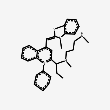 CCC(c1cc(/C=C2/Sc3ccccc3N2C)c2ccccc2[n+]1-c1ccccc1)N(C)CCCNC